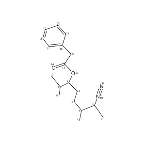 CC(C)C(CCC(C)C(C)[N+]#N)OC(=O)Cc1ccccc1